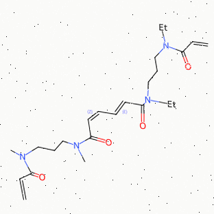 C=CC(=O)N(C)CCCN(C)C(=O)/C=C\C=C\C(=O)N(CC)CCCN(CC)C(=O)C=C